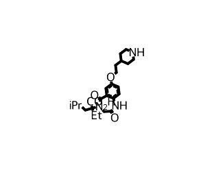 CCC(CC(C)C)(C(=O)O)N1CC(=O)Nc2ccc(OCCC3CCNCC3)cc2C1=O